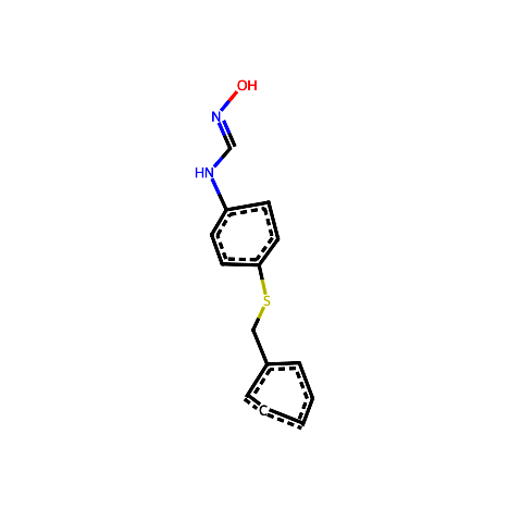 O/N=C/Nc1ccc(SCc2ccccc2)cc1